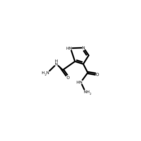 NNC(=O)c1cn[nH]c1C(=O)NN